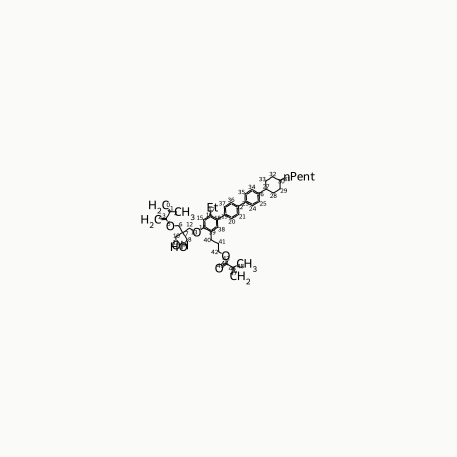 C=C(C)C(=C)OCC(CO)(CO)COc1cc(CC)c(-c2ccc(-c3ccc(C4CCC(CCCCC)CC4)cc3)cc2)cc1CCCOC(=O)C(=C)C